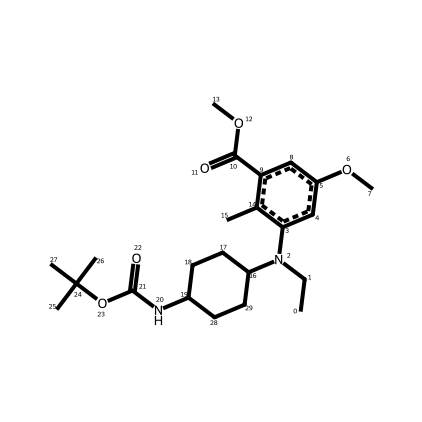 CCN(c1cc(OC)cc(C(=O)OC)c1C)C1CCC(NC(=O)OC(C)(C)C)CC1